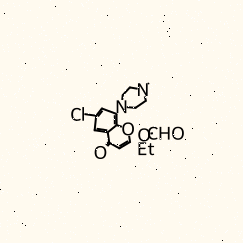 CCOC=O.CN1CCN(c2cc(Cl)cc3c(=O)ccoc23)CC1